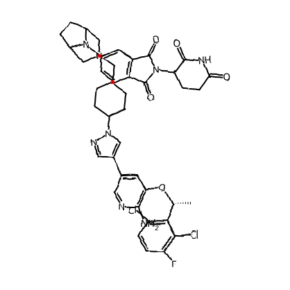 C[C@@H](Oc1cc(-c2cnn(C3CCC(CN4CC5CCC(C4)N5c4ccc5c(c4)C(=O)N(C4CCC(=O)NC4=O)C5=O)CC3)c2)cnc1N)c1c(Cl)ccc(F)c1Cl